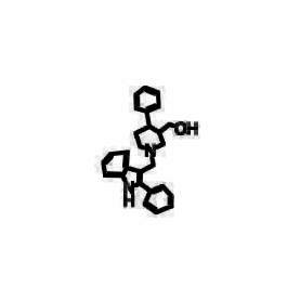 OCC1CN(Cc2c(-c3ccccc3)[nH]c3ccccc23)CCC1c1ccccc1